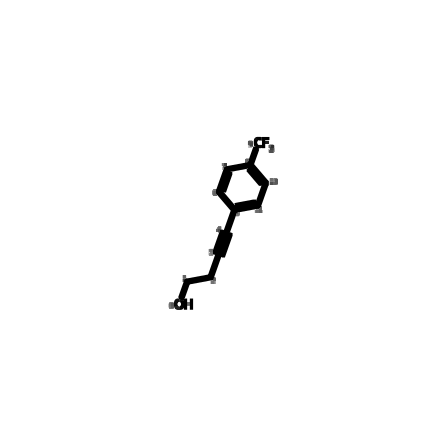 OCCC#Cc1ccc(C(F)(F)F)cc1